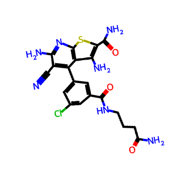 N#Cc1c(N)nc2sc(C(N)=O)c(N)c2c1-c1cc(Cl)cc(C(=O)NCCCC(N)=O)c1